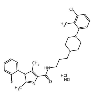 Cc1c(Cl)cccc1N1CCN(CCCNC(=O)c2nc(C)n(-c3ccccc3F)c2C)CC1.Cl.Cl